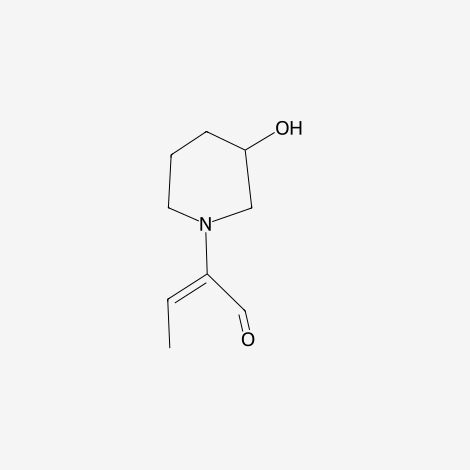 CC=C(C=O)N1CCCC(O)C1